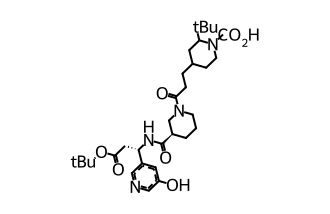 CC(C)(C)OC(=O)C[C@H](NC(=O)[C@@H]1CCCN(C(=O)CCC2CCN(C(=O)O)C(C(C)(C)C)C2)C1)c1cncc(O)c1